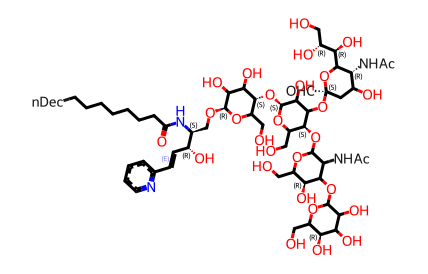 CCCCCCCCCCCCCCCCCC(=O)N[C@@H](CO[C@@H]1OC(CO)[C@@H](O[C@@H]2OC(CO)[C@H](OC3OC(CO)[C@H](O)C(OC4OC(CO)[C@H](O)C(O)C4O)C3NC(C)=O)C(O[C@]3(C=O)CC(O)[C@@H](NC(C)=O)C([C@H](O)[C@H](O)CO)O3)C2O)C(O)C1O)[C@H](O)/C=C/c1ccccn1